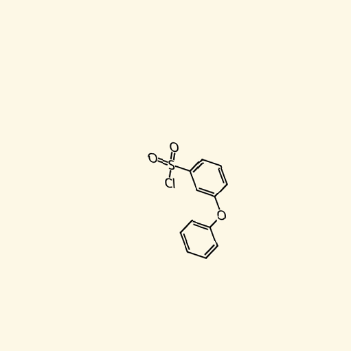 O=S(=O)(Cl)c1cccc(Oc2ccccc2)c1